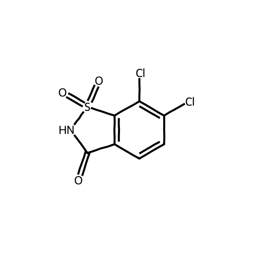 O=C1NS(=O)(=O)c2c1ccc(Cl)c2Cl